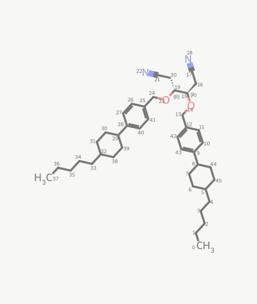 CCCCCC1CCC(c2ccc(CO[C@H](CC#N)[C@@H](CC#N)OCc3ccc(C4CCC(CCCCC)CC4)cc3)cc2)CC1